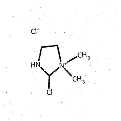 C[N+]1(C)CCNC1Cl.[Cl-]